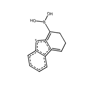 OB(O)C1=c2sc3ccccc3c2=CCC1